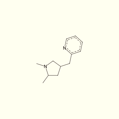 CC1CC(Cc2ccccn2)CN1C